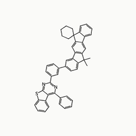 CC1(C)c2ccc(-c3cccc(-c4nc(-c5ccccc5)c5c(n4)sc4ccccc45)c3)cc2-c2cc3c(cc21)-c1ccccc1C31CCCCC1